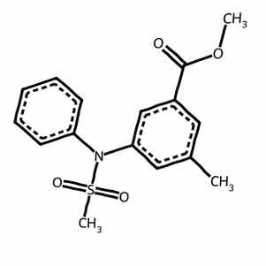 COC(=O)c1cc(C)cc(N(c2ccccc2)S(C)(=O)=O)c1